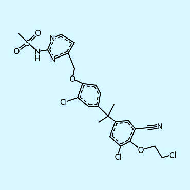 CC(C)(c1ccc(OCc2ccnc(NS(C)(=O)=O)n2)c(Cl)c1)c1cc(Cl)c(OCCCl)c(C#N)c1